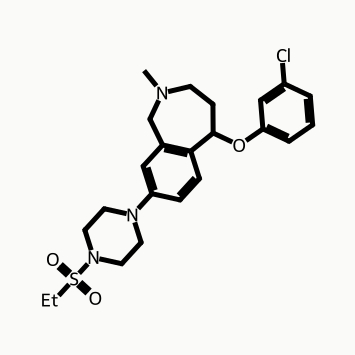 CCS(=O)(=O)N1CCN(c2ccc3c(c2)CN(C)CCC3Oc2cccc(Cl)c2)CC1